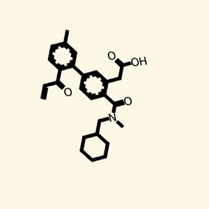 C=CC(=O)c1ccc(C)cc1-c1ccc(C(=O)N(C)CC2CCCCC2)c(CC(=O)O)c1